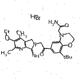 Br.CCOc1c(C)nc2c(c1C)CN(CC(=O)c1cc3c(c(C(C)(C)C)c1)OCCN3CC(N)=O)C2=N